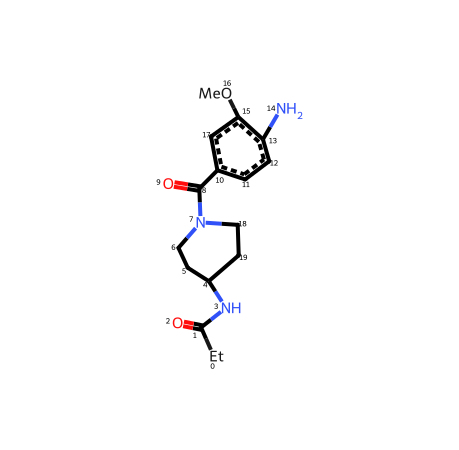 CCC(=O)NC1CCN(C(=O)c2ccc(N)c(OC)c2)CC1